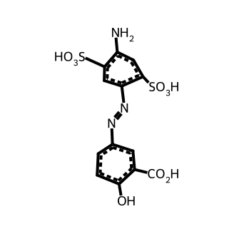 Nc1cc(S(=O)(=O)O)c(N=Nc2ccc(O)c(C(=O)O)c2)cc1S(=O)(=O)O